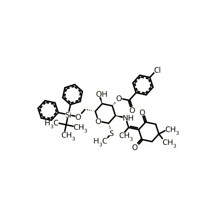 CS[C@@H]1O[C@H](CO[Si](c2ccccc2)(c2ccccc2)C(C)(C)C)[C@@H](O)[C@H](OC(=O)c2ccc(Cl)cc2)[C@H]1NC(C)=C1C(=O)CC(C)(C)CC1=O